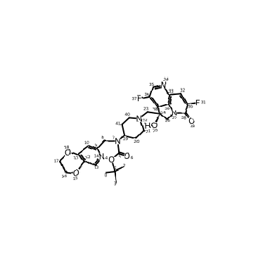 CC(C)(C)OC(=O)N(Cc1cc2c(cn1)OCCO2)C1CCN(C[C@@]2(O)Cn3c(=O)c(F)cc4ncc(F)c2c43)CC1